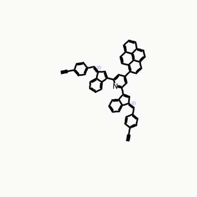 C#Cc1ccc(/C=C2/C=C(c3cc(-c4ccc5ccc6cccc7ccc4c5c67)cc(C4=C/C(=C/c5ccc(C#C)cc5)c5ccccc54)n3)c3ccccc32)cc1